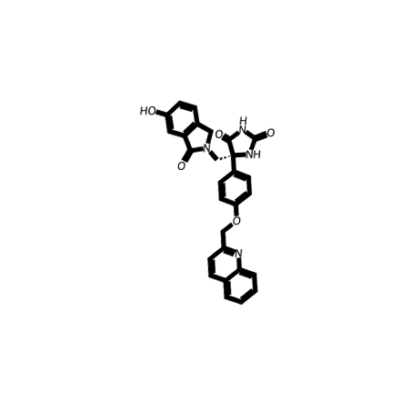 O=C1NC(=O)[C@](CN2Cc3ccc(O)cc3C2=O)(c2ccc(OCc3ccc4ccccc4n3)cc2)N1